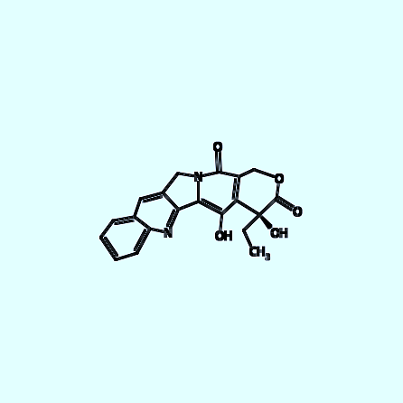 CC[C@@]1(O)C(=O)OCc2c1c(O)c1n(c2=O)Cc2cc3ccccc3nc2-1